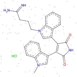 Cl.Cn1cc(C2=C(c3cn(CCCC(=N)N)c4ccccc34)C(=O)NC2=O)c2ccccc21